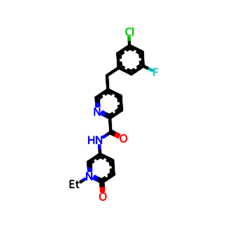 CCn1cc(NC(=O)c2ccc(Cc3cc(F)cc(Cl)c3)cn2)ccc1=O